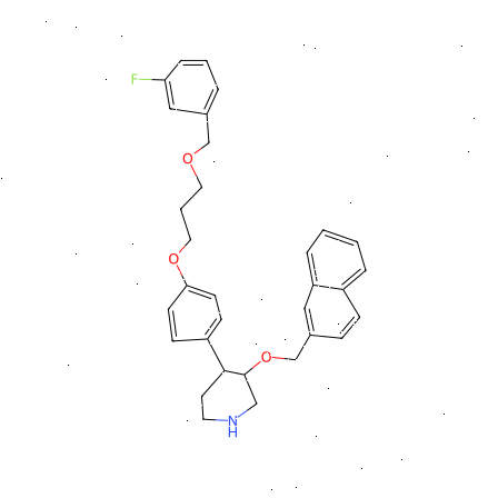 Fc1cccc(COCCCOc2ccc(C3CCNCC3OCc3ccc4ccccc4c3)cc2)c1